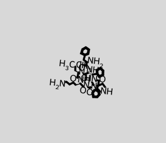 CC(C)C[C@@H](NC(=O)[C@@H](Cc1ccccc1)NC(=O)[C@H](N)Cc1ccccc1)C(=O)N[C@H](CCCCN)C(=O)NC(=O)[N+]1(c2ccccc2)CNC(=O)C12CCNCC2